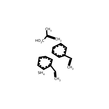 C=C(C)C(=O)O.C=Cc1ccccc1.C=Cc1ccccc1.[SiH4]